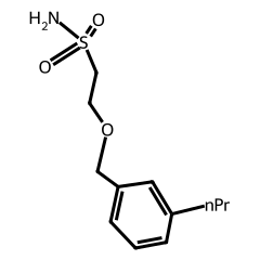 CCCc1cccc(COCCS(N)(=O)=O)c1